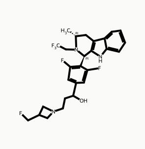 C[C@@H]1Cc2c([nH]c3ccccc23)[C@@H](c2c(F)cc(C(O)CCN3CC(CF)C3)cc2F)N1CC(F)(F)F